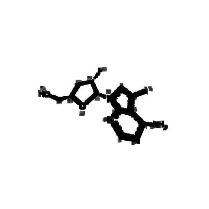 Nc1ncnc2c1c(I)cn2[C@@H]1O[C@@H](CO)[CH][C@@H]1F